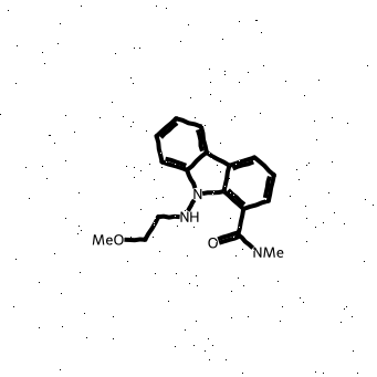 CNC(=O)c1cccc2c3ccccc3n(NCCOC)c12